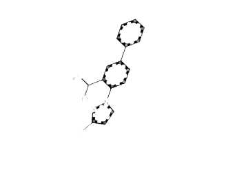 CCCC(CC)c1cc(-c2ccccc2)ccc1-n1ccc(C)n1